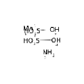 N.O=S(=O)(O)O.O=S(=O)(O)O.[Mn]